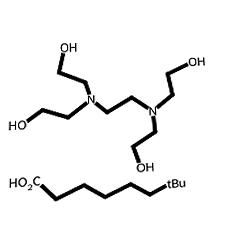 CC(C)(C)CCCCCC(=O)O.OCCN(CCO)CCN(CCO)CCO